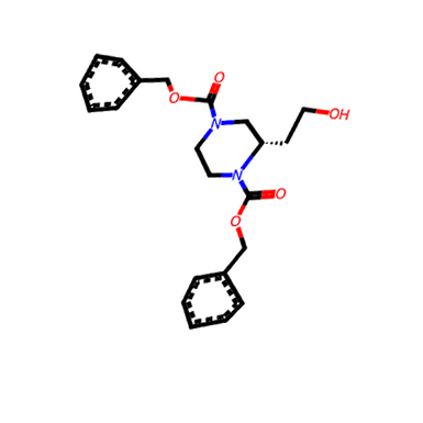 O=C(OCc1ccccc1)N1CCN(C(=O)OCc2ccccc2)[C@@H](CCO)C1